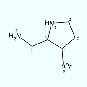 CCCC1CCNC1CN